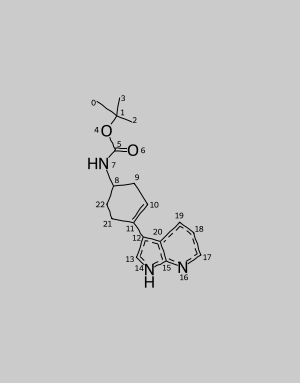 CC(C)(C)OC(=O)NC1CC=C(c2c[nH]c3ncccc23)CC1